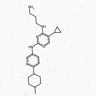 CN1CCN(c2ccc(Nc3ncc(C4CC4)c(NCCCN)n3)cn2)CC1